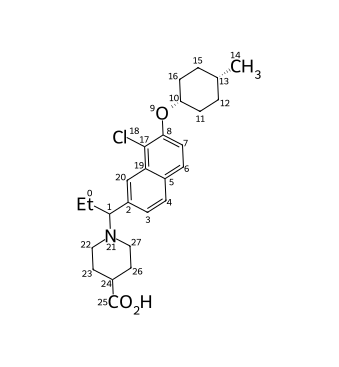 CCC(c1ccc2ccc(O[C@H]3CC[C@@H](C)CC3)c(Cl)c2c1)N1CCC(C(=O)O)CC1